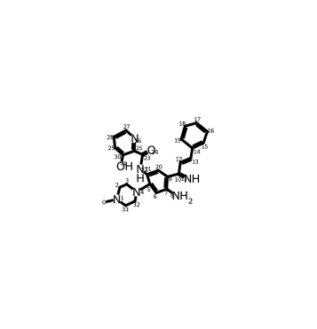 CN1CCN(c2cc(N)c(C(=N)/C=C/c3ccccc3)cc2NC(=O)c2ncccc2O)CC1